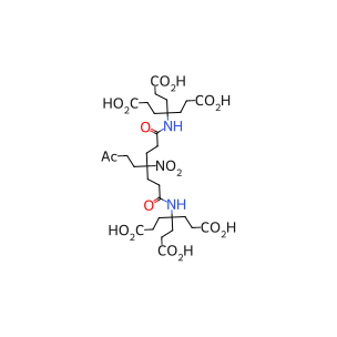 CC(=O)CCC(CCC(=O)NC(CCC(=O)O)(CCC(=O)O)CCC(=O)O)(CCC(=O)NC(CCC(=O)O)(CCC(=O)O)CCC(=O)O)[N+](=O)[O-]